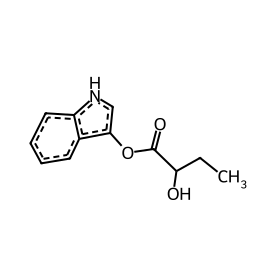 CCC(O)C(=O)Oc1c[nH]c2ccccc12